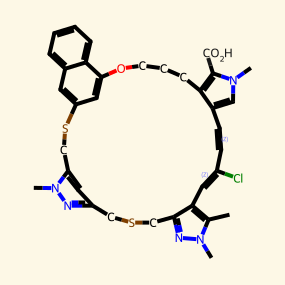 Cc1c2c(nn1C)CSCc1cc(n(C)n1)CSc1cc(c3ccccc3c1)OCCCc1c(cn(C)c1C(=O)O)/C=C\C(Cl)=C\2